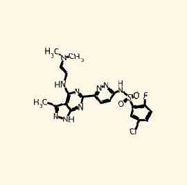 Cc1n[nH]c2nc(-c3ccc(NS(=O)(=O)c4cc(Cl)ccc4F)nn3)nc(NCCN(C)C)c12